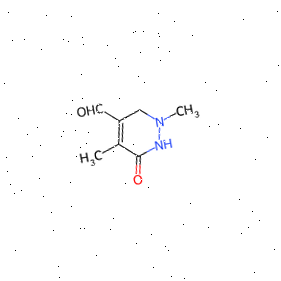 CC1=C(C=O)CN(C)NC1=O